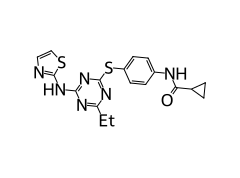 CCc1nc(Nc2nccs2)nc(Sc2ccc(NC(=O)C3CC3)cc2)n1